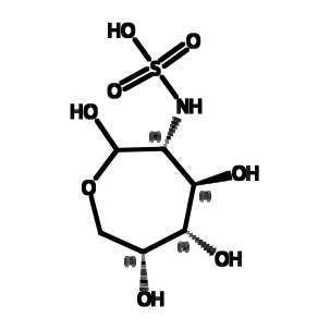 O=S(=O)(O)N[C@H]1C(O)OC[C@@H](O)[C@@H](O)[C@@H]1O